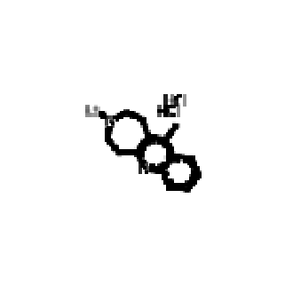 CCN1CCc2nc3ccccc3c(C)c2CC1.Cl.Cl